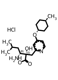 CC(C)C[C@@H](N)[C@@](O)(Cc1cc(O[C@H]2CC[C@H](C)CC2)ccn1)C(=O)O.Cl